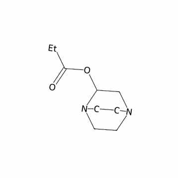 CCC(=O)OC1CN2CCN1CC2